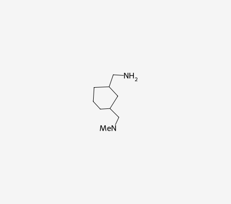 CNCC1CCCC(CN)C1